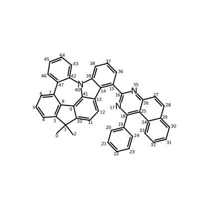 CC1(C)c2cccc3c2-c2c1ccc1c4c(-c5nc(-c6ccccc6)c6c(ccc7ccccc76)n5)cccc4n(c21)-c1ccccc1-3